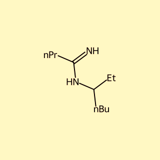 CCCCC(CC)NC(=N)CCC